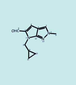 Cn1cc2cc(C=O)n(CC3CC3)c2n1